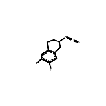 Fc1cc2c(cc1F)CC(N=C=S)CC2